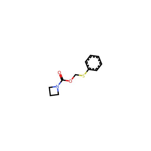 O=C(OCSc1ccccc1)N1CCC1